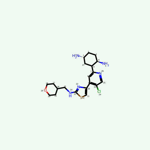 N[C@@H]1CC[C@@H](N)C(c2cc(-c3csc(NCC4CCOCC4)n3)c(Cl)cn2)C1